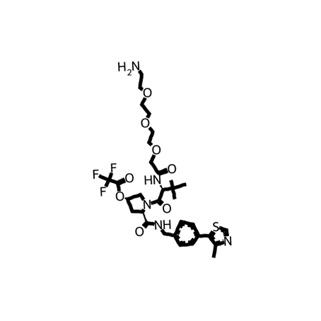 Cc1ncsc1-c1ccc(CNC(=O)[C@H]2C[C@H](OC(=O)C(F)(F)F)CN2C(=O)[C@H](NC(=O)COCCOCCOCCN)C(C)(C)C)cc1